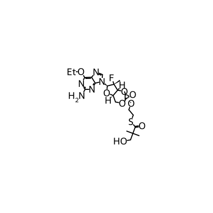 CCOc1nc(N)nc2c1ncn2[C@@H]1O[C@@H]2CO[P@@](=O)(OCCSC(=O)C(C)(C)CO)O[C@H]2[C@@]1(C)F